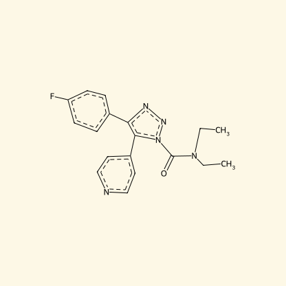 CCN(CC)C(=O)n1nnc(-c2ccc(F)cc2)c1-c1ccncc1